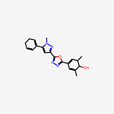 CC1=CC(c2nnc(-c3cc(C4=CCCC=C4)n(C)n3)o2)=CC(C)C1O